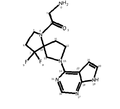 NCC(=O)N1CCC(F)(F)C12CCN(c1ncnc3[nH]ccc13)C2